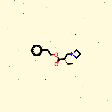 CC[C@@H](CN1CCC1)C(=O)OCCc1ccccc1